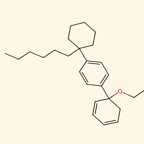 CCCCCCC1(c2ccc(C3(OCC)C=CC=CC3)cc2)CCCCC1